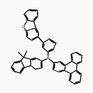 CC1(C)C2=CC(N(c3cccc(-c4ccc5oc6ccccc6c5c4)c3)c3ccc4c5ccccc5c5ccccc5c4c3)=CCC2c2ccccc21